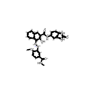 CNC(=O)c1ccc(OC)c(/N=N/c2c(O)c(C(=O)Nc3ccc4[nH]c(=O)[nH]c4c3)cc3ccccc23)c1